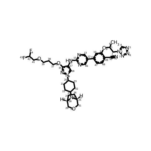 CC(Cn1cnnn1)Oc1cc(-c2cnc(Nc3cn(C4CCC(N5[C@@H]6CC[C@H]5COC6)CC4)nc3OCCCOCC(F)F)nc2)ccc1C#N